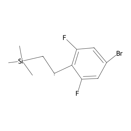 C[Si](C)(C)C[CH]c1c(F)cc(Br)cc1F